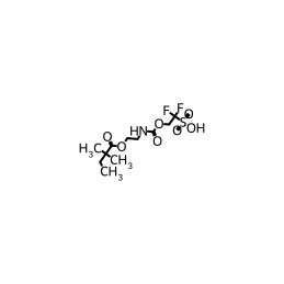 CCC(C)(C)C(=O)OCCNC(=O)OCC(F)(F)S(=O)(=O)O